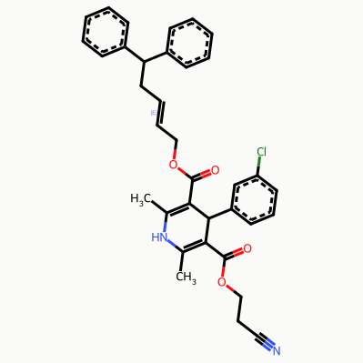 CC1=C(C(=O)OC/C=C/CC(c2ccccc2)c2ccccc2)C(c2cccc(Cl)c2)C(C(=O)OCCC#N)=C(C)N1